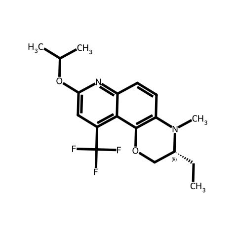 CC[C@@H]1COc2c(ccc3nc(OC(C)C)cc(C(F)(F)F)c23)N1C